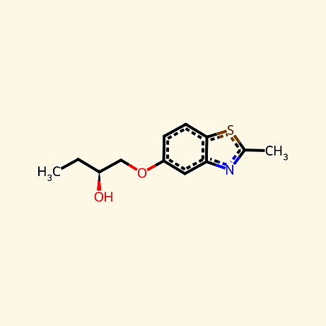 CC[C@H](O)COc1ccc2sc(C)nc2c1